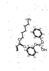 C=CC(=O)OCCCCCC(C)C.OP(Oc1ccccc1)Oc1ccccc1